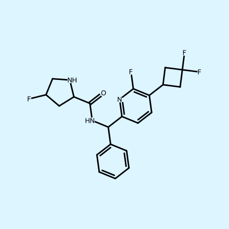 O=C(NC(c1ccccc1)c1ccc(C2CC(F)(F)C2)c(F)n1)C1CC(F)CN1